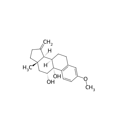 C=C1CC[C@@]2(C)C[C@@H](O)[C@]3(O)c4ccc(OC)cc4CC[C@@H]3[C@H]12